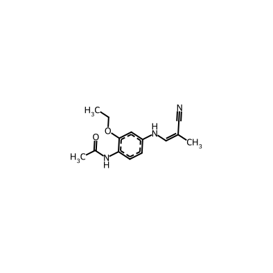 CCOc1cc(N/C=C(/C)C#N)ccc1NC(C)=O